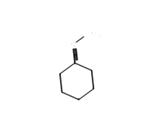 CON=C1CC[CH]CC1.Cl